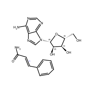 NC(=O)/C=C/c1ccccc1.Nc1ncnc2c1ncn2[C@@H]1O[C@H](CO)[C@@H](O)[C@H]1O